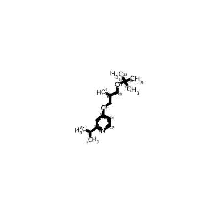 CC(C)c1cc(OCC(O)COC(C)(C)C)ccn1